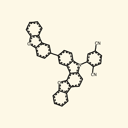 N#Cc1ccc(C#N)c(-n2c3ccc(-c4ccc5oc6ccccc6c5c4)cc3c3c4oc5ccccc5c4ccc32)c1